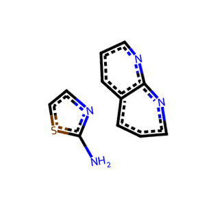 Nc1nccs1.c1cnc2ncccc2c1